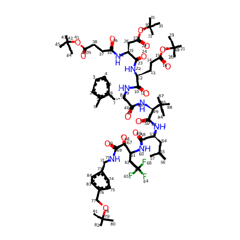 Cc1ccccc1C[C@H](NC(=O)[C@H](CCC(=O)OC(C)(C)C)NC(=O)[C@H](CC(=O)OC(C)(C)C)NC(=O)CCC(=O)OC(C)(C)C)C(=O)N[C@H](C(=O)N[C@@H](CC(C)C)C(=O)NC(CC(F)(F)F)C(=O)C(=O)NCc1ccc(COC(C)(C)C)cc1)C(C)(C)C